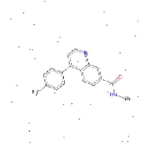 CC(C)NC(=O)c1ccc2c(-c3ccc(C(F)(F)F)cc3)ccnc2c1